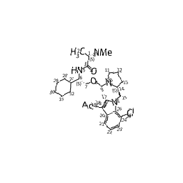 CN[C@@H](C)C(=O)N[C@H](COCN1CCC[C@H]1Cn1cc(C(C)=O)c2cccc(Cl)c21)C1CCCCC1